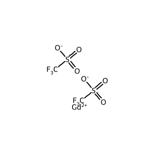 O=S(=O)([O-])C(F)(F)F.O=S(=O)([O-])C(F)(F)F.[Gd+2]